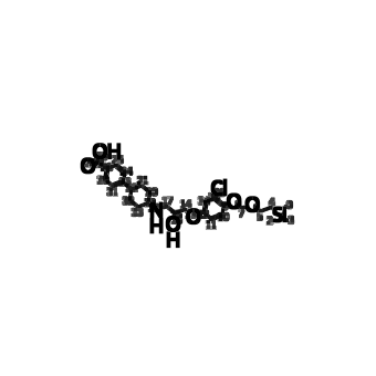 C[Si](C)(C)CCOCOc1ccc(OC[C@@H](O)CNC2CCC(c3ccc(C(=O)O)cc3)CC2)cc1Cl